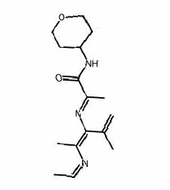 C=C(C)C(/N=C(\C)C(=O)NC1CCOCC1)=C(C)\N=C/C